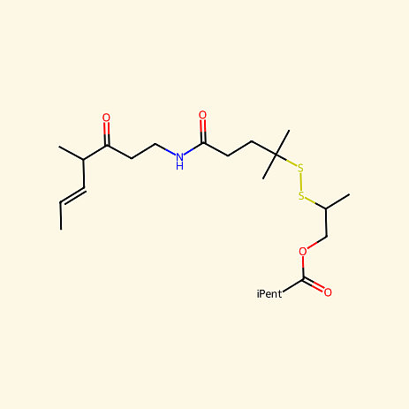 CC=CC(C)C(=O)CCNC(=O)CCC(C)(C)SSC(C)COC(=O)C(C)CCC